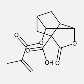 C=C(C)C(=O)OC1C2CC3C1OC(=O)C3(C(=O)O)C2